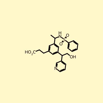 CC(NS(=O)(=O)c1ccccc1)c1cc(CCC(=O)O)cc(C(CO)c2cccnc2)c1